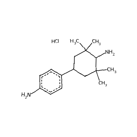 CC1(C)CC(c2ccc(N)cc2)CC(C)(C)C1N.Cl